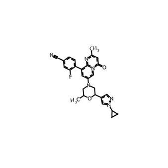 Cc1cc(=O)n2cc(N3CC(C)OC(c4cnn(C5CC5)c4)C3)cc(-c3ccc(C#N)cc3F)c2n1